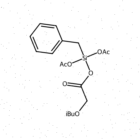 CC(=O)O[Si](Cc1ccccc1)(OC(C)=O)OC(=O)COCC(C)C